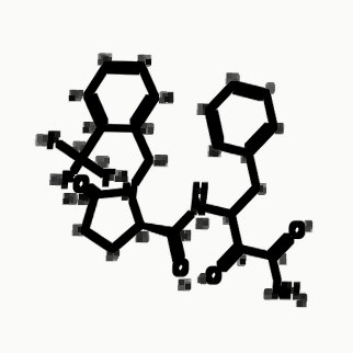 NC(=O)C(=O)C(Cc1ccccc1)NC(=O)[C@H]1CCC(=O)N1Cc1ccccc1C(F)(F)F